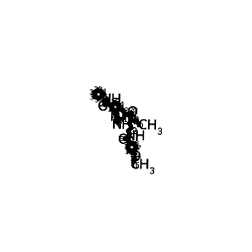 CCCN(CCCNC(=O)c1ccc(OCC)cc1)C(=O)C1=Cc2ccc(C(=O)Nc3ccccc3)cc2N=C(N)C1